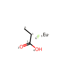 CCC(=O)O.[Eu].[F]